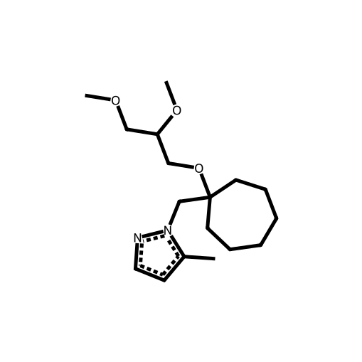 COCC(COC1(Cn2nccc2C)CCCCCC1)OC